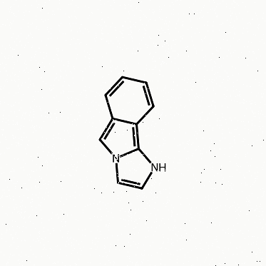 c1ccc2c(c1)cn1cc[nH]c21